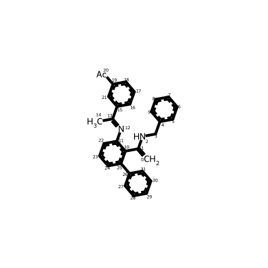 C=C(NCc1ccccc1)c1c(/N=C(\C)c2cccc(C(C)=O)c2)cccc1-c1ccccc1